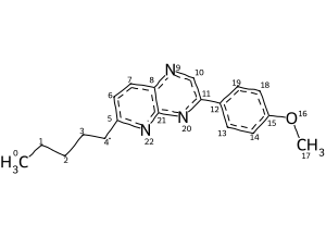 CCCC[CH]c1ccc2ncc(-c3ccc(OC)cc3)nc2n1